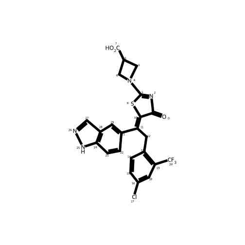 O=C1N=C(N2CC(C(=O)O)C2)SC1=C(Cc1ccc(Cl)cc1C(F)(F)F)c1ccc2[nH]ncc2c1